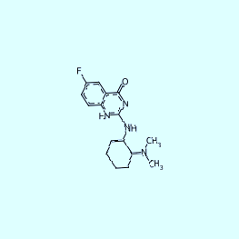 CN(C)C1CCCCC1Nc1nc(=O)c2cc(F)ccc2[nH]1